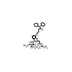 CCN(C)C(=O)NN1CN(CC(=O)OC(C)C)Cc2c(OCCCC(=O)N(C3CCCCC3)C3CCCCC3)cccc21